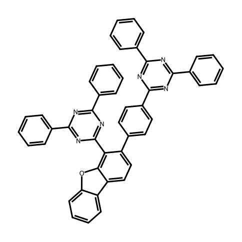 c1ccc(-c2nc(-c3ccccc3)nc(-c3ccc(-c4ccc5c(oc6ccccc65)c4-c4nc(-c5ccccc5)nc(-c5ccccc5)n4)cc3)n2)cc1